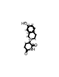 O=C1CCC(N2CCc3ccc(O)cc3C2)C(=O)N1